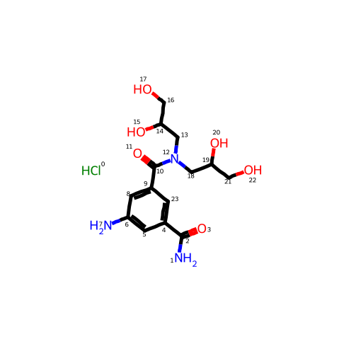 Cl.NC(=O)c1cc(N)cc(C(=O)N(CC(O)CO)CC(O)CO)c1